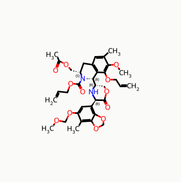 C=CCOC(=O)N1[C@H](COC(C)=O)Cc2cc(C)c(OC)c(OCC=C)c2[C@@H]1[C@@H]1COC(=O)[C@@H](c2cc(OCOC)c(C)c3c2OCO3)N1